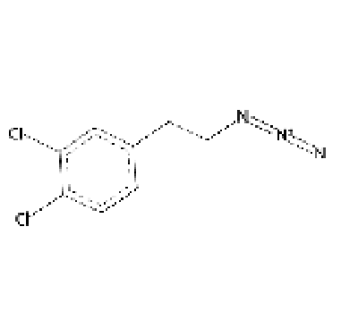 [N-]=[N+]=NCCc1ccc(Cl)c(Cl)c1